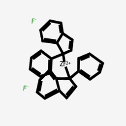 C1=C[C]([Zr+2][C]2(c3ccccc3)C=Cc3ccccc32)(c2ccccc2)c2ccccc21.[F-].[F-]